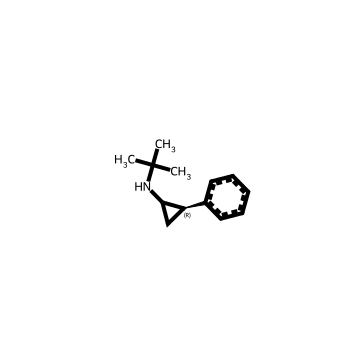 CC(C)(C)NC1C[C@@H]1c1ccccc1